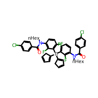 CCCCCCN(C(=O)c1ccc(Cl)cc1)c1ccc(F)[c]([Ti]([C]2=CC=CC2)([C]2=CC=CC2)[c]2c(F)ccc(N(CCCCCC)C(=O)c3ccc(Cl)cc3)c2F)c1F